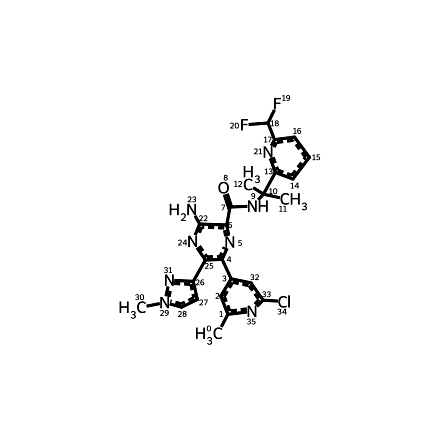 Cc1cc(-c2nc(C(=O)NC(C)(C)c3cccc(C(F)F)n3)c(N)nc2-c2ccn(C)n2)cc(Cl)n1